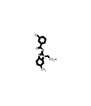 Cc1ccc2s/c(=N\C(=O)c3cccc(Cl)c3)n(CC(=O)O)c2c1